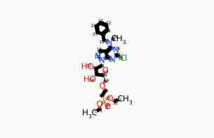 CCOP(=O)(CCOC[C@H]1O[C@@H](n2ncc3c(N(C)Cc4ccccc4)nc(Cl)nc32)[C@H](O)[C@@H]1O)OCC